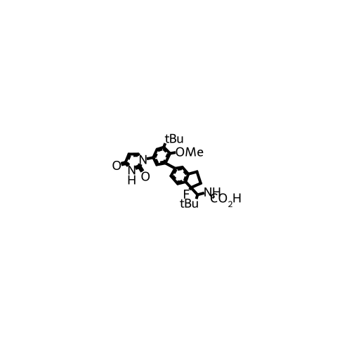 COc1c(-c2ccc3c(c2)CCC3(F)C(NC(=O)O)C(C)(C)C)cc(-n2ccc(=O)[nH]c2=O)cc1C(C)(C)C